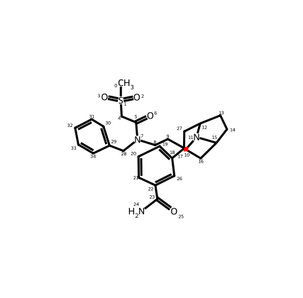 CS(=O)(=O)CC(=O)N(CCCN1C2CCC1CC(c1cccc(C(N)=O)c1)C2)Cc1ccccc1